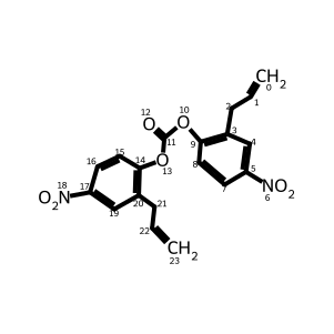 C=CCc1cc([N+](=O)[O-])ccc1OC(=O)Oc1ccc([N+](=O)[O-])cc1CC=C